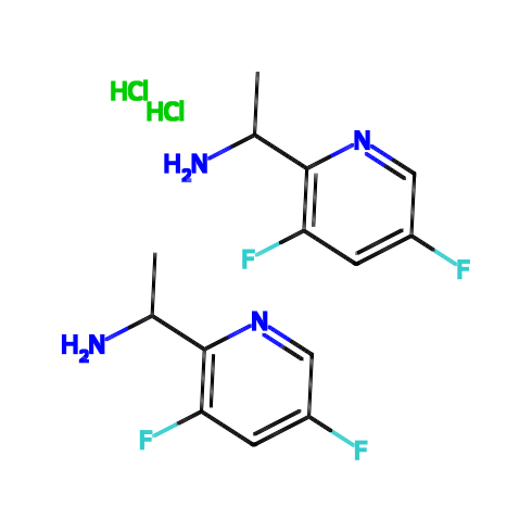 CC(N)c1ncc(F)cc1F.CC(N)c1ncc(F)cc1F.Cl.Cl